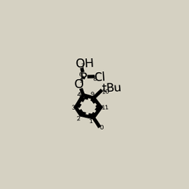 Cc1ccc(OP(O)Cl)c(C(C)(C)C)c1